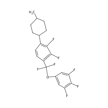 CC1CCC(c2ccc(C(F)(F)Oc3cc(F)c(F)c(F)c3)c(F)c2F)CC1